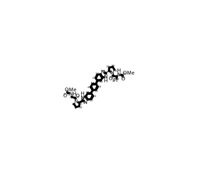 COC(=O)NCC(=O)N1CCCC1c1nc2ccc(-c3ccc(-c4ccc5nc([C@@H]6CCCN6C(=O)C(NC(=O)OC)C(C)C)[nH]c5c4)cc3)cc2[nH]1